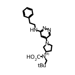 CC(C)(C)CN(C(=O)O)[C@@H]1CCN(c2cnnc(NCCc3ccccc3)c2)C1